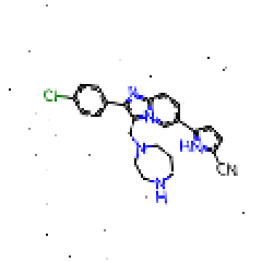 N#Cc1ccc(-c2ccc3nc(-c4ccc(Cl)cc4)c(CN4CCCNCC4)n3c2)[nH]1